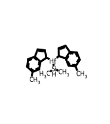 Cc1ccc2c(c1)[CH]([Hf]([CH]1C=Cc3ccc(C)cc31)[SiH](C)C)C=C2